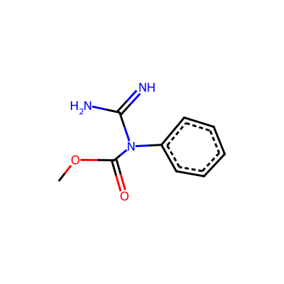 COC(=O)N(C(=N)N)c1ccccc1